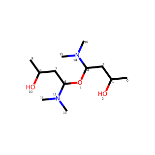 CC(O)CC(OC(CC(C)O)N(C)C)N(C)C